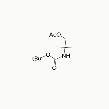 CC(=O)OCC(C)(C)NC(=O)OC(C)(C)C